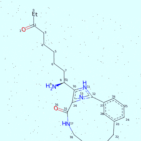 CCC(=O)CCCCC[C@H](N)c1[nH]c2nc1C(=O)NCCCCCc1cccc-2c1